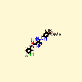 COC(=O)c1ccc(CNc2n[nH]c3c(C(=O)NCc4ccc(F)c(Cl)c4)ncnc23)cc1C